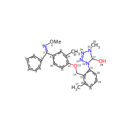 CON=C(c1ccccc1)c1ccc(OCc2c(C)cccc2N2N=NN(C)C2O)c(C)c1